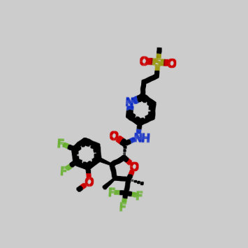 COc1c([C@H]2[C@H](C(=O)Nc3ccc(CCS(C)(=O)=O)nc3)O[C@@](C)(C(F)(F)F)[C@H]2C)ccc(F)c1F